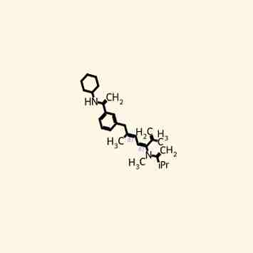 C=C(C)/C(=C\C=C(/C)Cc1cccc(C(=C)NC2CCCCC2)c1)N(C)C(=C)C(C)C